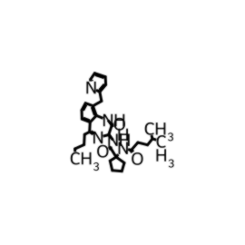 CCCCC1=NC(NC(=O)C2(NC(=O)CCC(C)C)CCCC2)C(=O)Nc2c(Cc3ccccn3)cccc21